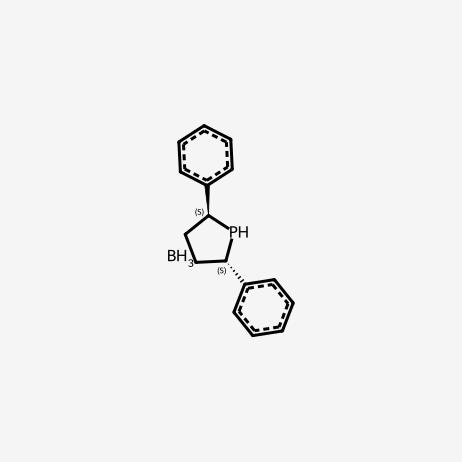 B.c1ccc([C@@H]2CC[C@@H](c3ccccc3)P2)cc1